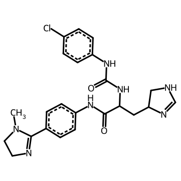 CN1CCN=C1c1ccc(NC(=O)C(CC2CNC=N2)NC(=O)Nc2ccc(Cl)cc2)cc1